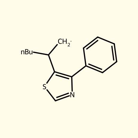 [CH2]C(CCCC)c1scnc1-c1ccccc1